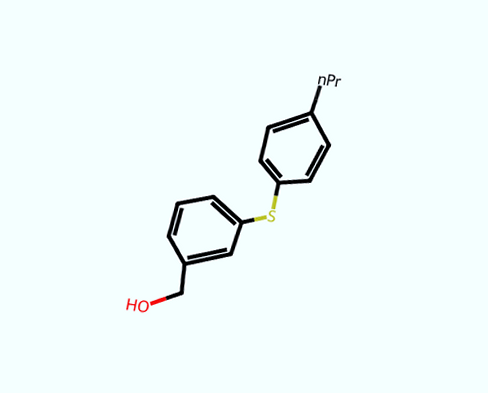 CCCc1ccc(Sc2cccc(CO)c2)cc1